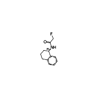 O=C(CF)N[C@@H]1CCCc2ccccc21